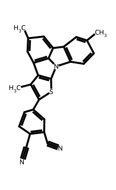 Cc1ccc2c(c1)c1cc(C)cc3c4c(C)c(-c5ccc(C#N)c(C#N)c5)sc4n2c13